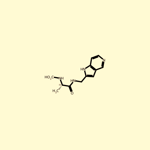 C[C@H](NC(=O)O)C(=O)NCc1cc2cnccc2[nH]1